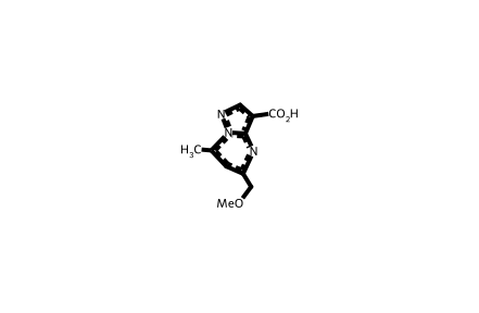 COCc1cc(C)n2ncc(C(=O)O)c2n1